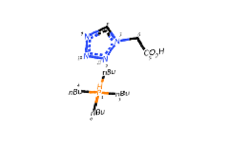 CCCC[PH](CCCC)(CCCC)CCCC.O=C(O)Cn1cnnn1